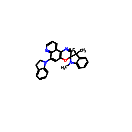 CN1c2ccccc2C(C)(C)C12C=Nc1c(cc(N3CCc4ccccc43)c3ncccc13)O2